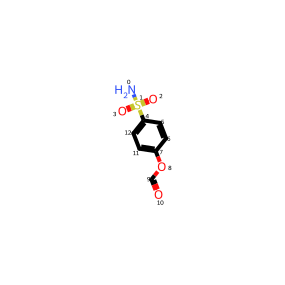 NS(=O)(=O)c1ccc(OC=O)cc1